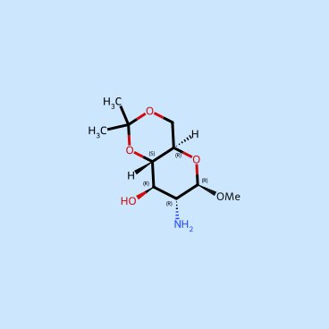 CO[C@@H]1O[C@@H]2COC(C)(C)O[C@H]2[C@H](O)[C@H]1N